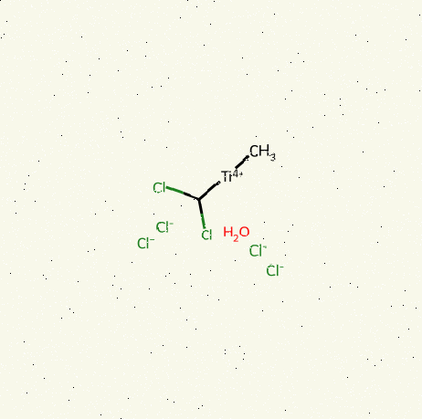 O.[CH3][Ti+4][CH](Cl)Cl.[Cl-].[Cl-].[Cl-].[Cl-]